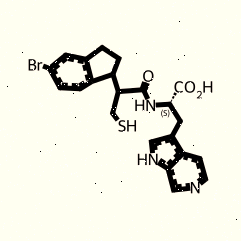 O=C(N[C@@H](Cc1c[nH]c2cnccc12)C(=O)O)C(CS)C1CCc2cc(Br)ccc21